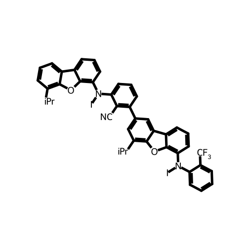 CC(C)c1cc(-c2cccc(N(I)c3cccc4c3oc3c(C(C)C)cccc34)c2C#N)cc2c1oc1c(N(I)c3ccccc3C(F)(F)F)cccc12